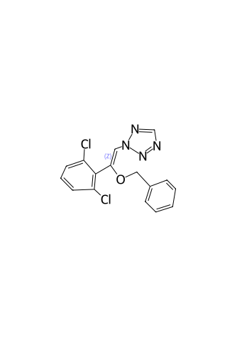 Clc1cccc(Cl)c1/C(=C/n1ncnn1)OCc1ccccc1